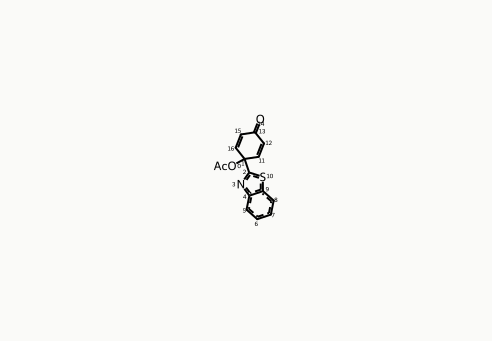 CC(=O)OC1(c2nc3ccccc3s2)C=CC(=O)C=C1